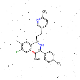 CNC(=O)[C@@H](N[C@H](CCc1ccc(C(F)(F)F)nc1)c1ccc(F)c(C)c1)c1ccc(C(F)(F)F)cc1